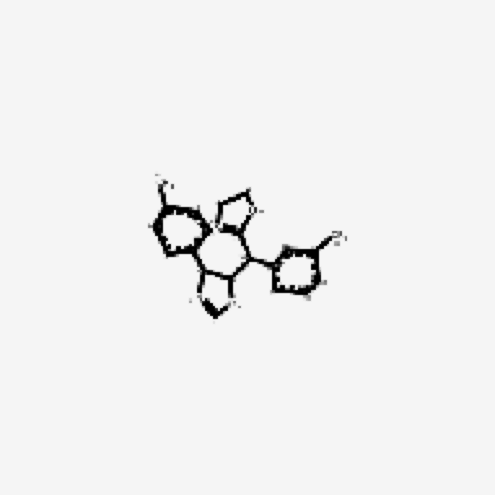 Cc1ccc(C2N=[C]OC2C(C2=NCCO2)c2cccc(C(F)(F)F)c2)cc1